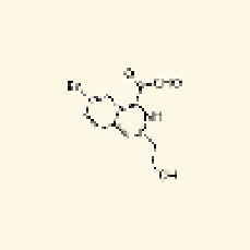 O=CC(=O)C1=c2cc(Br)ccc2=CN(CCO)N1